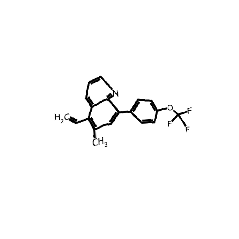 C=Cc1c(C)cc(-c2ccc(OC(F)(F)F)cc2)c2ncccc12